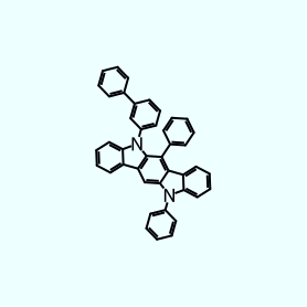 c1ccc(-c2cccc(-n3c4ccccc4c4cc5c(c(-c6ccccc6)c43)c3ccccc3n5-c3ccccc3)c2)cc1